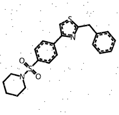 O=S(=O)(c1ccc(-c2csc(Cc3ccccc3)n2)cc1)N1CCCCC1